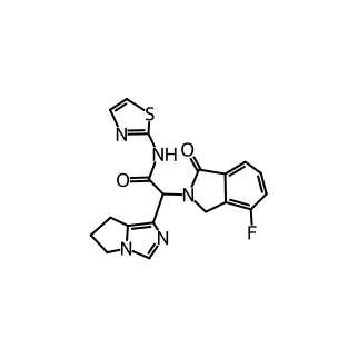 O=C(Nc1nccs1)C(c1ncn2c1CCC2)N1Cc2c(F)cccc2C1=O